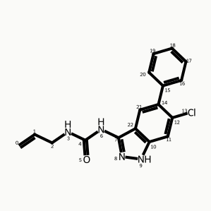 C=CCNC(=O)Nc1n[nH]c2cc(Cl)c(-c3ccccc3)cc12